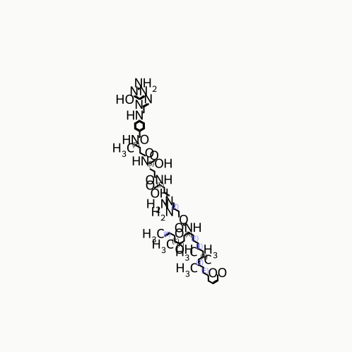 C/C=C/C1OC([C@@H](/C=C/C=C(\C)C[C@@H](C)/C=C(C)\C=C\C2CC=CC(=O)O2)NC(=O)OCC/C(N)=C/N(N)CCC[C@H](NC(=O)CC[C@H](NC(=O)CC[C@@H](C)NC(=O)c2ccc(NCc3cnc4nc(N)nc(O)c4n3)cc2)C(=O)O)C(=O)O)C[C@@H](O)[C@@H]1C